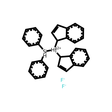 C1=C[CH]([Hf+2]([CH]2C=Cc3ccccc32)[SiH](c2ccccc2)c2ccccc2)c2ccccc21.[F-].[F-]